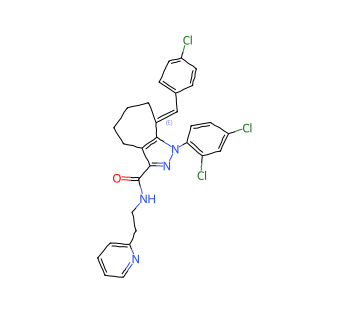 O=C(NCCc1ccccn1)c1nn(-c2ccc(Cl)cc2Cl)c2c1CCCC/C2=C\c1ccc(Cl)cc1